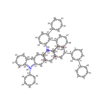 c1ccc(-c2cccc(-c3ccc(N(c4ccc5c(c4)c4ccccc4n5-c4ccccc4)c4cccc(-c5ccccc5)c4-c4ccccc4-c4ccccc4)cc3)c2)cc1